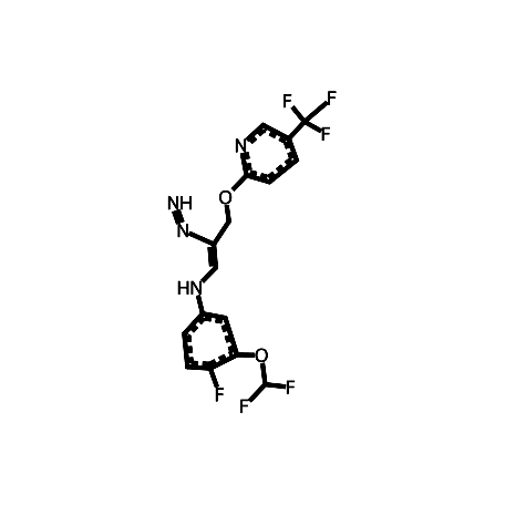 N=N/C(=C\Nc1ccc(F)c(OC(F)F)c1)COc1ccc(C(F)(F)F)cn1